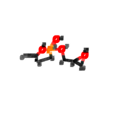 C=COP(=O)(CC)OCC1CO1